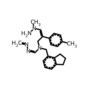 C=N/N=C\N(C/C(=C\N(C)N)c1ccc(C)cc1)Cc1cccc2c1CCC2